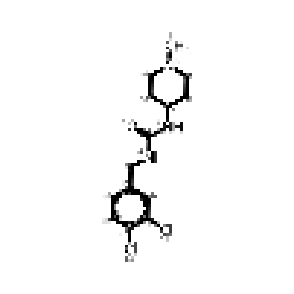 CN1CCC(NC(=O)NCc2ccc(Cl)c(Cl)c2)CC1